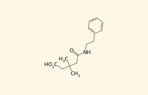 CC(C)(CC(=O)O)CC(=O)NCCc1ccccc1